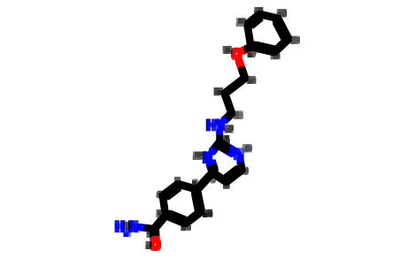 NC(=O)c1ccc(-c2ccnc(NCCCOc3ccccc3)n2)cc1